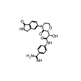 N=C(N)c1ccc(NC(=O)[C@H](O)[C@H]2OCCN(c3ccc4c(c3)CNC4=O)C2=O)cc1